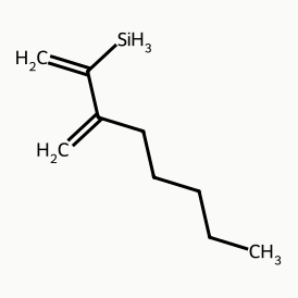 C=C([SiH3])C(=C)CCCCC